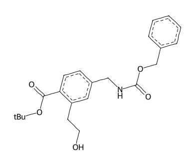 CC(C)(C)OC(=O)c1ccc(CNC(=O)OCc2ccccc2)cc1CCO